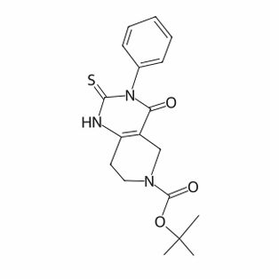 CC(C)(C)OC(=O)N1CCc2[nH]c(=S)n(-c3ccccc3)c(=O)c2C1